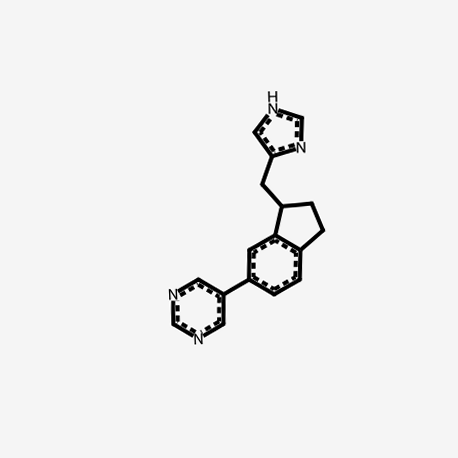 c1ncc(-c2ccc3c(c2)C(Cc2c[nH]cn2)CC3)cn1